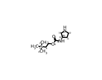 CS(C)(C)CCOC(=O)N[C@@H]1CCNC1